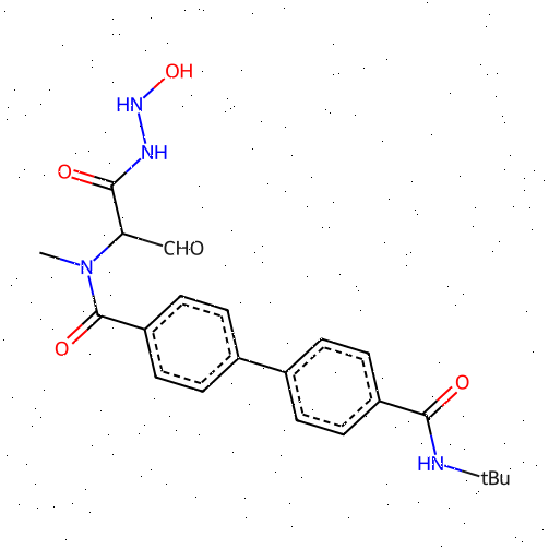 CN(C(=O)c1ccc(-c2ccc(C(=O)NC(C)(C)C)cc2)cc1)C(C=O)C(=O)NNO